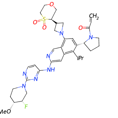 C=CC(=O)N1CCC[C@@H]1c1cc(N2CC([C@@H]3COCCS3(=O)=O)C2)c2cnc(Nc3ccnc(N4CC[C@@H](OC)[C@@H](F)C4)n3)cc2c1C(C)C